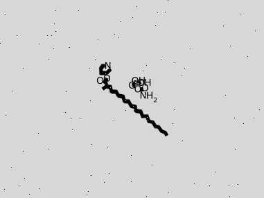 CCCCCCCCCC=CC=CC=CC=CC=CC=C(C)C(=O)Oc1cccnc1.NC(=O)OP(=O)(O)O